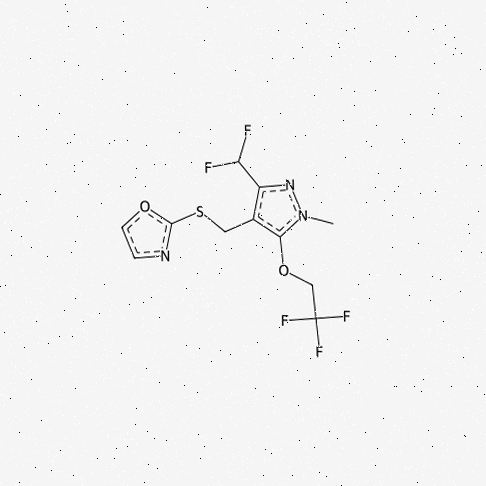 Cn1nc(C(F)F)c(CSc2ncco2)c1OCC(F)(F)F